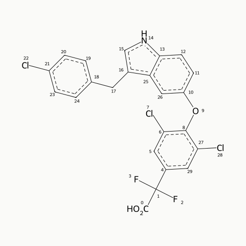 O=C(O)C(F)(F)c1cc(Cl)c(Oc2ccc3[nH]cc(Cc4ccc(Cl)cc4)c3c2)c(Cl)c1